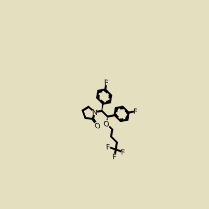 O=C1CCCN1[C@@H](c1ccc(F)cc1)[C@@H](OCCCC(F)(F)F)c1ccc(F)cc1